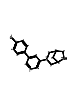 Clc1ccc(-c2cncc(N3CC4CNC(C4)C3)c2)cc1